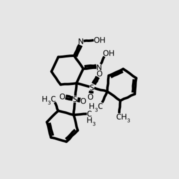 CC1C=CC=CC1(C)S(=O)(=O)C1(S(=O)(=O)C2(C)C=CC=CC2C)CCCC(=NO)C1=NO